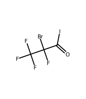 O=C(I)C(F)(Br)C(F)(F)F